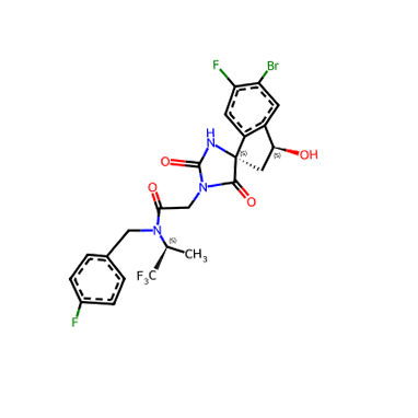 C[C@H](N(Cc1ccc(F)cc1)C(=O)CN1C(=O)N[C@]2(C[C@H](O)c3cc(Br)c(F)cc32)C1=O)C(F)(F)F